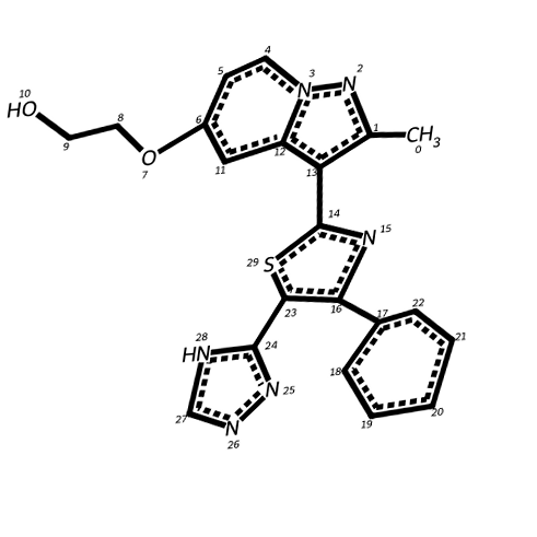 Cc1nn2ccc(OCCO)cc2c1-c1nc(-c2ccccc2)c(-c2nnc[nH]2)s1